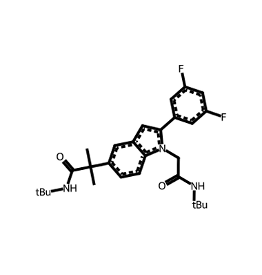 CC(C)(C)NC(=O)Cn1c(-c2cc(F)cc(F)c2)cc2cc(C(C)(C)C(=O)NC(C)(C)C)ccc21